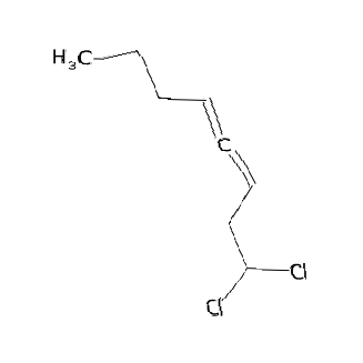 CCCC=C=CCC(Cl)Cl